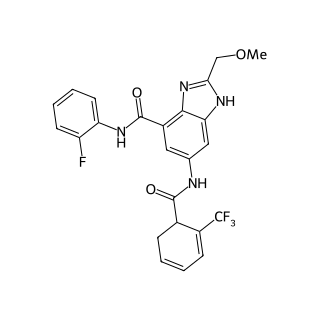 COCc1nc2c(C(=O)Nc3ccccc3F)cc(NC(=O)C3CC=CC=C3C(F)(F)F)cc2[nH]1